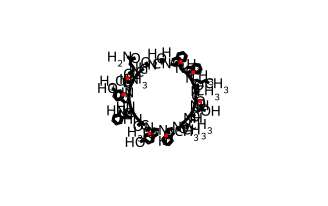 CCCC[C@H]1C(=O)N(C)CC(=O)N[C@@H](CC(=O)O)C(=O)N[C@@H](C(C)C)C(=O)N(C)[C@@H](Cc2ccccc2)C(=O)N[C@@H](Cc2ccc(O)cc2)C(=O)N(C)CC(=O)N[C@@H](Cc2c[nH]c3ccccc23)C(=O)N[C@@H](Cc2ccc(O)cc2)C(=O)N[C@@H](CC(C)C)C(=O)N[C@H](C(=O)NCC(N)=O)CCC(=O)NCC(=O)N[C@@H](Cc2ccccc2)C(=O)N(C)[C@@H](Cc2ccccc2)C(=O)N1C